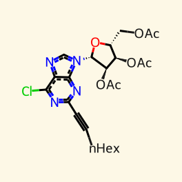 CCCCCCC#Cc1nc(Cl)c2ncn([C@@H]3O[C@H](COC(C)=O)[C@@H](OC(C)=O)[C@H]3OC(C)=O)c2n1